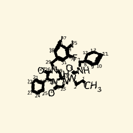 CCCN(C(=O)NCc1ccccc1)N1CC(=O)N2[C@@H](c3ccccc3)C(=O)N(Cc3cc(F)c(I)c(I)c3)C[C@@H]21